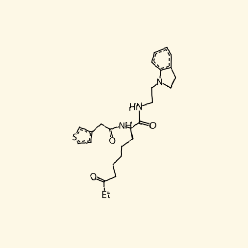 CCC(=O)CCCCCC(NC(=O)Cc1ccsc1)C(=O)NCCN1CCc2ccccc21